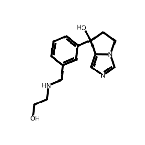 OCCNCc1cccc(C2(O)CCn3cncc32)c1